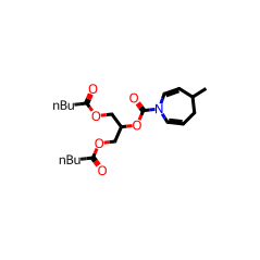 CCCCC(=O)OCC(COC(=O)CCCC)OC(=O)N1C=CCC(C)C=C1